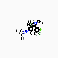 CCN(C)/C=N/c1cc(Cl)c(C(C)(C(=O)N(C)C)c2ccc(Cl)c(F)c2)cc1C